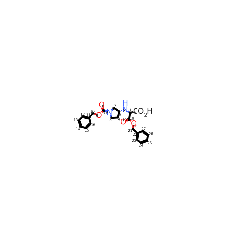 O=C(O)C(N[C@@H]1CCN(C(=O)OCc2ccccc2)C1)C(=O)OCc1ccccc1